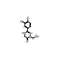 O=C1CNC(c2ccc(Cl)c(Cl)c2)=NN1CO